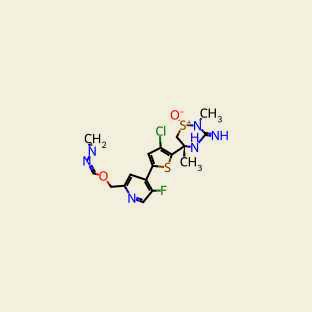 C=N/N=C\OCc1cc(-c2cc(Cl)c([C@]3(C)C[S+]([O-])N(C)C(=N)N3)s2)c(F)cn1